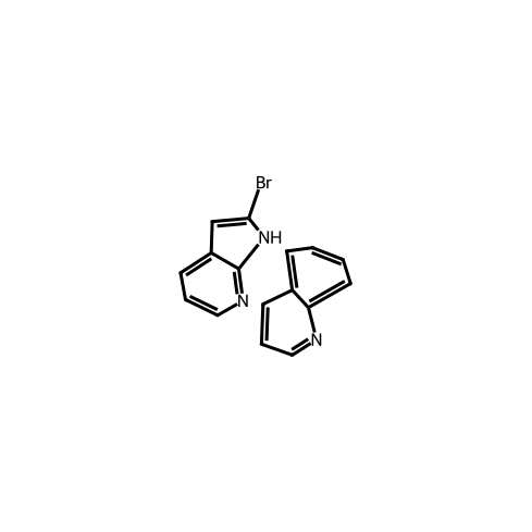 Brc1cc2cccnc2[nH]1.c1ccc2ncccc2c1